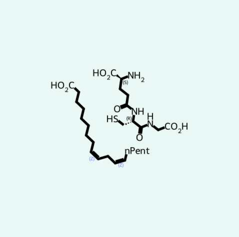 CCCCC/C=C\C/C=C\CCCCCCCC(=O)O.N[C@@H](CCC(=O)N[C@@H](CS)C(=O)NCC(=O)O)C(=O)O